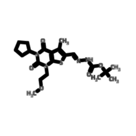 COCCn1c(=O)n(C2CCCC2)c(=O)c2c(C)c(C=NNC(=O)OC(C)(C)C)sc21